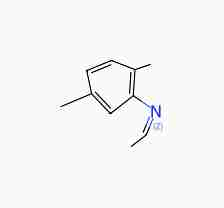 C/C=N\c1cc(C)ccc1C